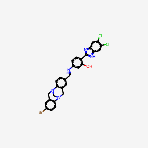 Oc1cc(/N=C/c2ccc3c(c2)CN2CN3Cc3cc(Br)ccc32)ccc1-c1nc2cc(Cl)c(Cl)cc2[nH]1